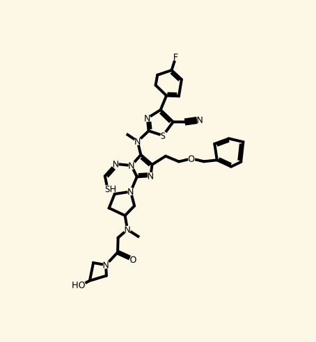 CN(c1nc(C2=CC=C(F)CC2)c(C#N)s1)c1c(CCOCc2ccccc2)nc(N2CCC(N(C)CC(=O)N3CC(O)C3)C2)n1/N=C\S